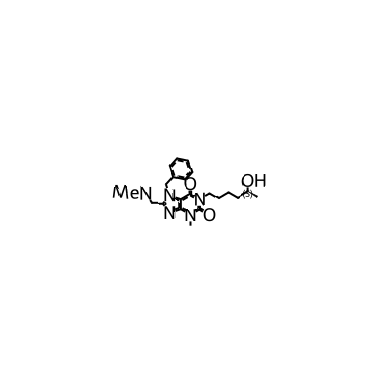 CNCc1nc2c(c(=O)n(CCCC[C@H](C)O)c(=O)n2C)n1Cc1ccccc1